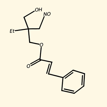 CCC(CO)(CN=O)COC(=O)/C=C/c1ccccc1